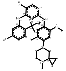 COc1cc(N2CCN(C)C3(CC3)C2)c(C)cc1Nc1ncc(Br)c(Nc2cc(F)ccc2C(C)(C)O)n1